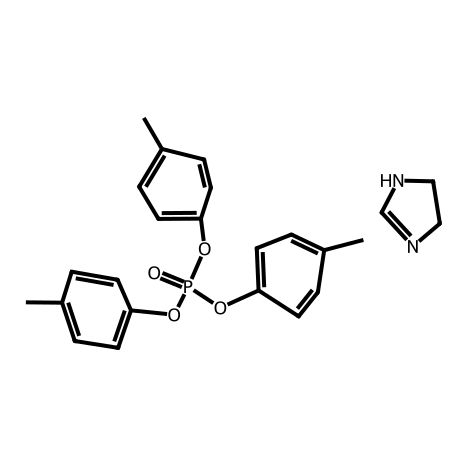 C1=NCCN1.Cc1ccc(OP(=O)(Oc2ccc(C)cc2)Oc2ccc(C)cc2)cc1